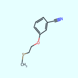 CSCCOc1cccc(C#N)c1